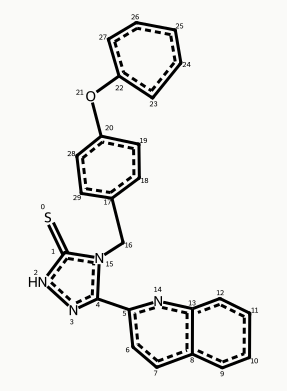 S=c1[nH]nc(-c2ccc3ccccc3n2)n1Cc1ccc(Oc2ccccc2)cc1